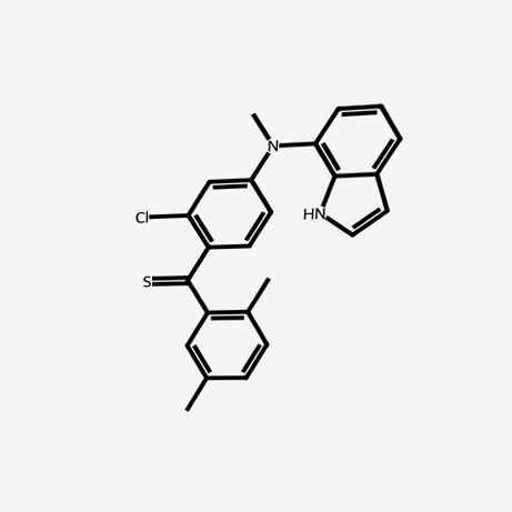 Cc1ccc(C)c(C(=S)c2ccc(N(C)c3cccc4cc[nH]c34)cc2Cl)c1